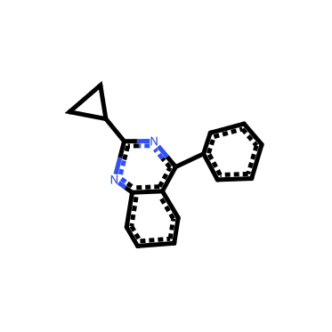 c1ccc(-c2nc(C3CC3)nc3ccccc23)cc1